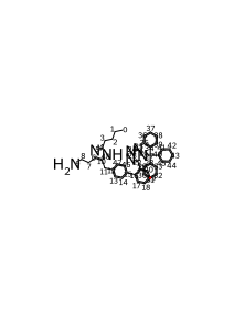 CCCCc1nc(CCN)c(Cc2ccc(-c3ccccc3-c3nnnn3C(c3ccccc3)(c3ccccc3)c3ccccc3)cc2)[nH]1